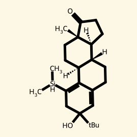 C[SiH](C)C1=C2C(=CC(O)(C(C)(C)C)C1)CC[C@@H]1[C@@H]2CC[C@]2(C)C(=O)CC[C@@H]12